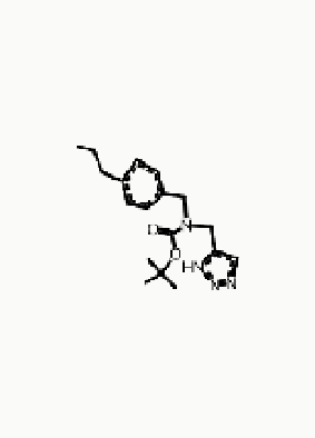 CCCc1ccc(CN(Cc2cnn[nH]2)C(=O)OC(C)(C)C)cc1